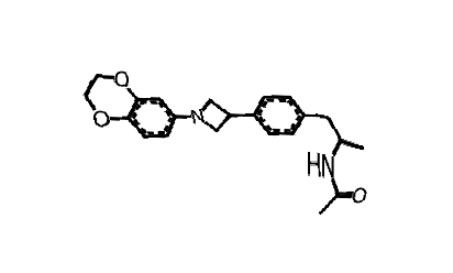 CC(=O)NC(C)Cc1ccc(C2CN(c3ccc4c(c3)OCCO4)C2)cc1